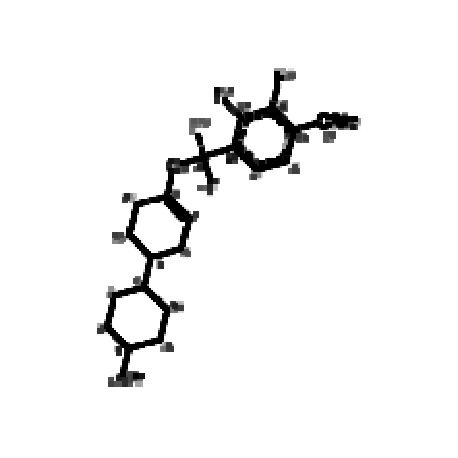 CCCC1CCC(C2CC=C(OC(F)(F)c3ccc(OC)c(F)c3F)CC2)CC1